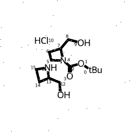 CC(C)(C)OC(=O)N1CCC1CO.Cl.OCC1CCN1